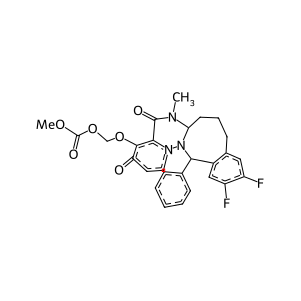 COC(=O)OCOc1c2n(ccc1=O)N1C(c3ccccc3)c3cc(F)c(F)cc3CCCC1N(C)C2=O